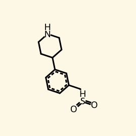 O=[SH](=O)Cc1cccc(C2CCNCC2)c1